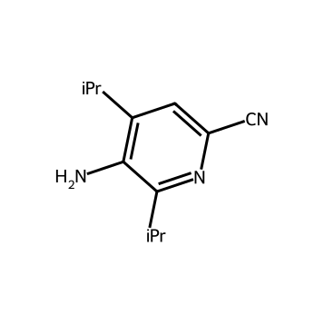 CC(C)c1cc(C#N)nc(C(C)C)c1N